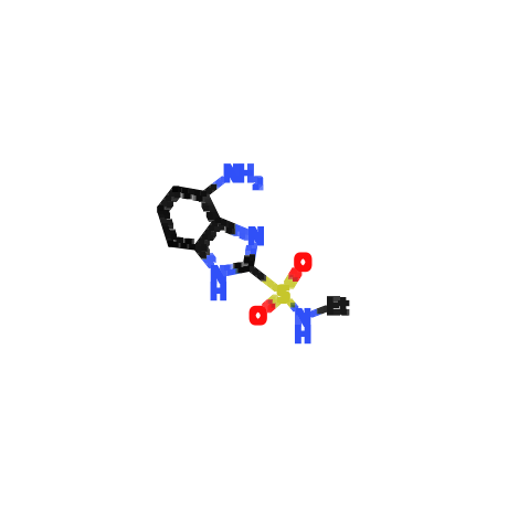 CCNS(=O)(=O)c1nc2c(N)cccc2[nH]1